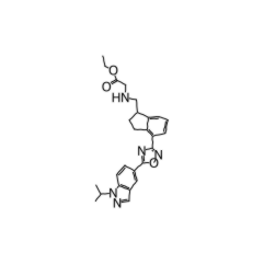 CCOC(=O)CNCC1CCc2c(-c3noc(-c4ccc5c(cnn5C(C)C)c4)n3)cccc21